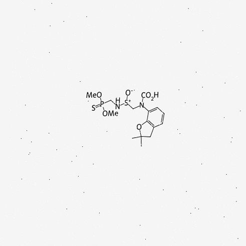 COP(=S)(CN[S+]([O-])CN(C(=O)O)c1cccc2c1OC(C)(C)C2)OC